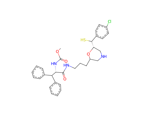 COC(=O)N[C@H](C(=O)NCCCC1CNC[C@@H](C(S)c2ccc(Cl)cc2)O1)C(c1ccccc1)c1ccccc1